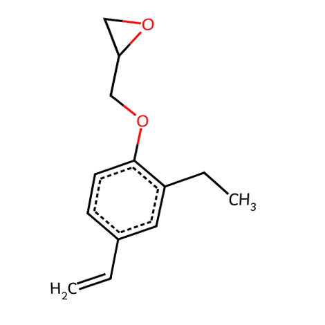 C=Cc1ccc(OCC2CO2)c(CC)c1